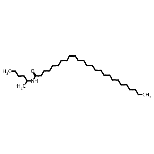 [CH2]C(CCCC)NC(=O)CCCCCCC/C=C\CCCCCCCCCCCCCCCC